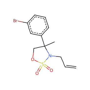 C=CCN1C(C)(c2cccc(Br)c2)COS1(=O)=O